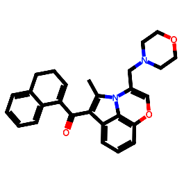 Cc1c(C(=O)C2=CCCc3ccccc32)c2cccc3c2n1C(CN1CCOCC1)=CO3